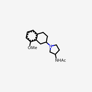 COc1cccc2c1CC(N1CCC(NC(C)=O)C1)CC2